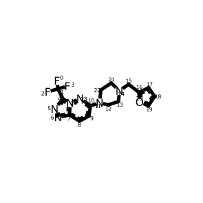 FC(F)(F)c1nnc2ccc(N3CCN(Cc4ccco4)CC3)nn12